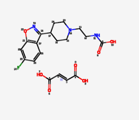 O=C(O)/C=C/C(=O)O.O=C(O)NCCN1CCC(c2noc3cc(F)ccc23)CC1